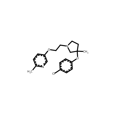 Cc1ccc(OCCN2CCC(C)(Oc3ccc(Cl)cc3)C2)cn1